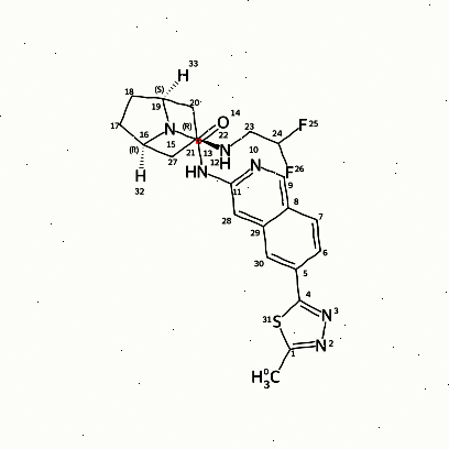 Cc1nnc(-c2ccc3cnc(NC(=O)N4[C@@H]5CC[C@H]4C[C@@H](NCC(F)F)C5)cc3c2)s1